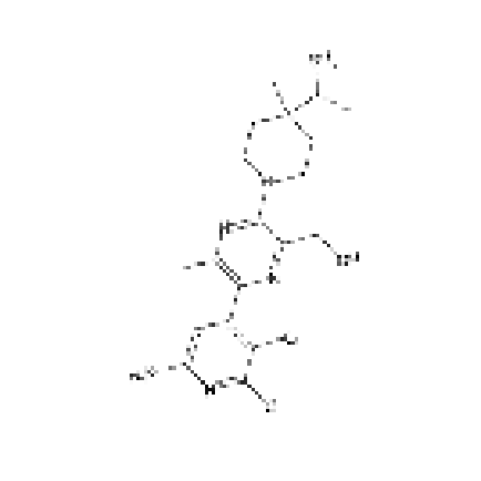 Cc1nc(N2CCC(C)([C@@H](C)N)CC2)c(CO)nc1-c1cc(N)nc(Cl)c1Cl